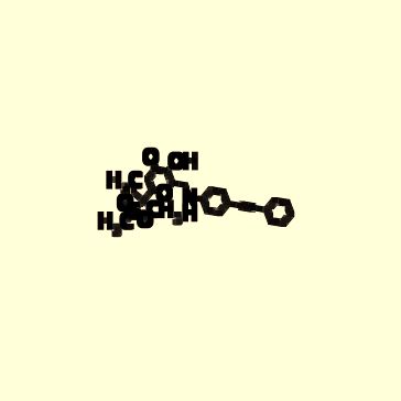 CCC(C)(c1cc(=O)c(O)c(CNc2ccc(C#Cc3ccccc3)cc2)o1)S(C)(=O)=O